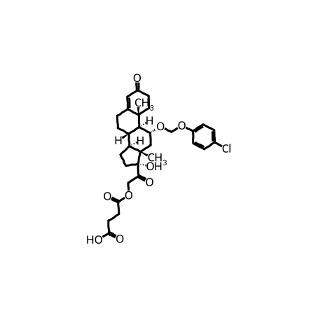 C[C@]12CCC(=O)C=C1CC[C@@H]1[C@@H]2[C@H](OCOc2ccc(Cl)cc2)C[C@@]2(C)[C@H]1CC[C@]2(O)C(=O)COC(=O)CCC(=O)O